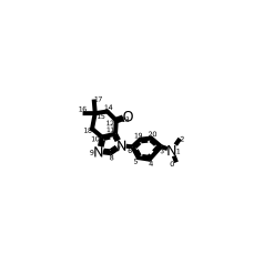 CN(C)c1ccc(-n2cnc3c2C(=O)CC(C)(C)C3)cc1